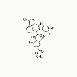 COC(=O)c1cc(F)c(NC(=O)C(C2CCCCC2)n2c(-c3ccc(Cl)cc3)nc3cc(F)c(F)cc32)c(C#N)c1